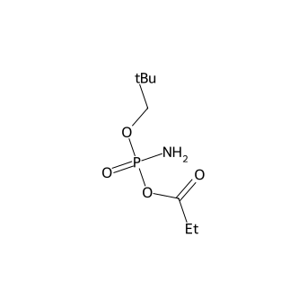 CCC(=O)OP(N)(=O)OCC(C)(C)C